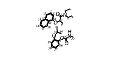 CCN(CC)C(=O)C(C)Oc1cccc2ccccc12.CNC(=O)Oc1ccccc1OC(C)C